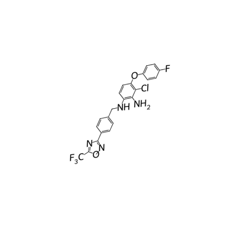 Nc1c(NCc2ccc(-c3noc(C(F)(F)F)n3)cc2)ccc(Oc2ccc(F)cc2)c1Cl